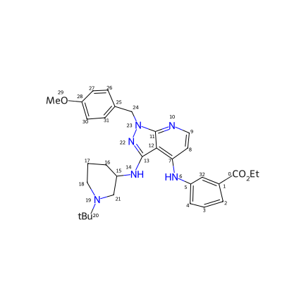 CCOC(=O)c1cccc(Nc2ccnc3c2c(NC2CCCN(C(C)(C)C)C2)nn3Cc2ccc(OC)cc2)c1